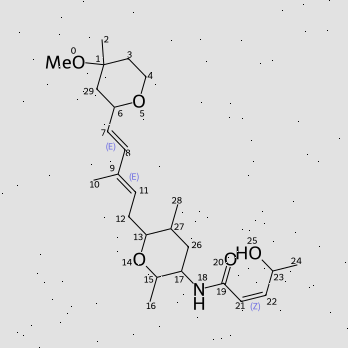 COC1(C)CCOC(/C=C/C(C)=C/CC2OC(C)C(NC(=O)/C=C\C(C)O)CC2C)C1